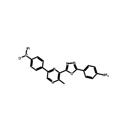 Cc1ncc(-c2ccc([S+]([O-])C(C)C)cc2)nc1-c1nnc(-c2ccc(N)cc2)o1